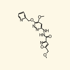 COCc1cc(C(=O)NNc2cc(OC)c(OCc3ccccn3)nn2)no1